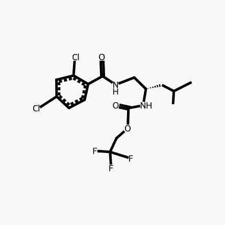 CC(C)C[C@@H](CNC(=O)c1ccc(Cl)cc1Cl)NC(=O)OCC(F)(F)F